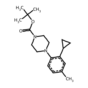 Cc1ccc(N2CCN(C(=O)OC(C)(C)C)CC2)c(C2CC2)c1